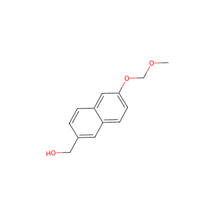 COCOc1ccc2cc(CO)ccc2c1